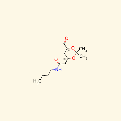 CCCCNC(=O)C[C@H]1C[C@@H](C=O)OC(C)(C)O1